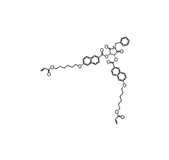 C=CC(=O)OCCCCCCOc1ccc2cc(C(=O)O[C@H]3C(=O)N(Cc4ccccc4)C(=O)[C@@H]3OC(=O)c3ccc4cc(OCCCCCCOC(=O)C=C)ccc4c3)ccc2c1